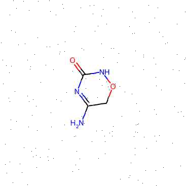 NC1=NC(=O)NOC1